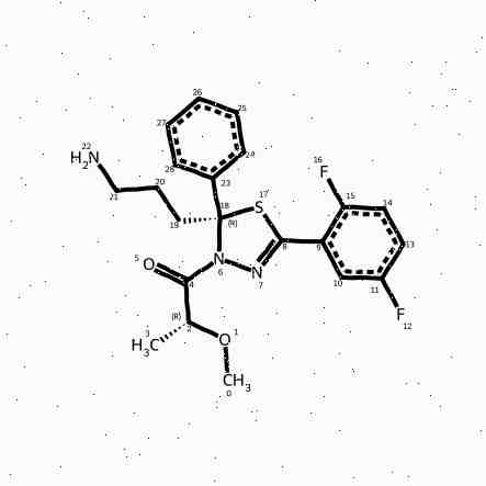 CO[C@H](C)C(=O)N1N=C(c2cc(F)ccc2F)S[C@]1(CCCN)c1ccccc1